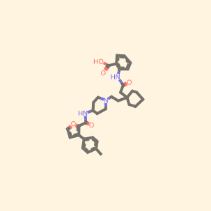 Cc1ccc(-c2ccoc2C(=O)NC2CCN(CCC3(CC(=O)Nc4ccccc4C(=O)O)CCCCC3)CC2)cc1